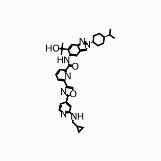 CC(C)[C@H]1CC[C@H](n2cc3cc(NC(=O)c4cccc(-c5coc(-c6ccnc(NCC7CC7)c6)n5)n4)c(C(C)(C)O)cc3n2)CC1